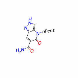 CCCCCn1c(=O)c(C(N)=O)cc2n[nH]cc21